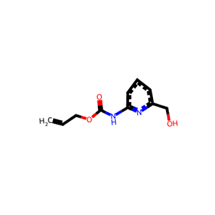 C=CCOC(=O)Nc1cccc(CO)n1